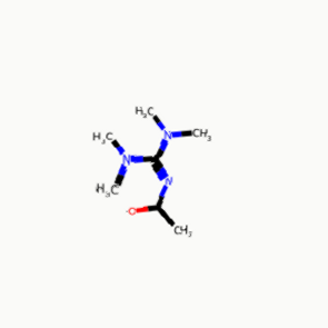 CC([O])N=C(N(C)C)N(C)C